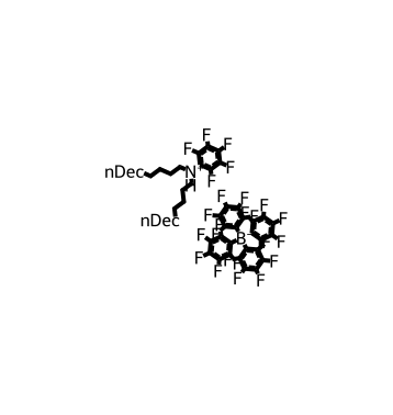 CCCCCCCCCCCCCC[NH+](CCCCCCCCCCCCCC)c1c(F)c(F)c(F)c(F)c1F.Fc1c(F)c(F)c([B-](c2c(F)c(F)c(F)c(F)c2F)(c2c(F)c(F)c(F)c(F)c2F)c2c(F)c(F)c(F)c(F)c2F)c(F)c1F